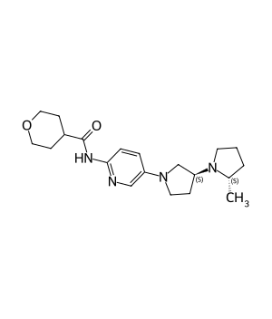 C[C@H]1CCCN1[C@H]1CCN(c2ccc(NC(=O)C3CCOCC3)nc2)C1